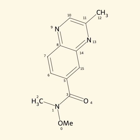 CON(C)C(=O)c1ccc2ncc(C)nc2c1